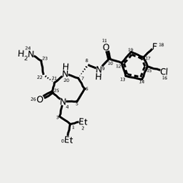 CCC(CC)CN1CC[C@@H](CNC(=O)c2ccc(Cl)c(F)c2)N[C@@H](CCN)C1=O